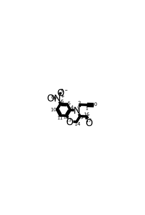 C#CCN1c2cc([N+](=O)[O-])ccc2OCC1C=O